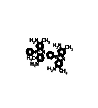 Cc1cc2nc3cc(C)c(N)cc3[n+](-c3ccccc3)c2cc1N.Cc1cc2nc3ccc(N)c(C)c3[n+](-c3ccccc3)c2cc1N